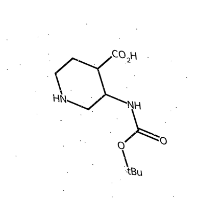 CC(C)(C)OC(=O)NC1CNCCC1C(=O)O